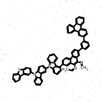 C=Nc1c(/N=C\C)c2cc(-c3cccc4c3c3ccccc3n4-c3ccc4c(c3)c3ccccc3n4-c3ccc4sc5ccccc5c4c3)ccc2c2ccc(-c3cccc(-c4ccc5c6ccccc6c6ccccc6c5c4)c3)cc12